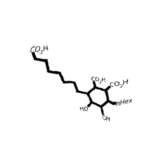 CCCCCCC1C(O)C(O)C(CCCCCCCC(=O)O)C(C(=O)O)C1C(=O)O